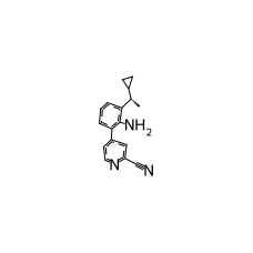 C[C@@H](c1cccc(-c2ccnc(C#N)c2)c1N)C1CC1